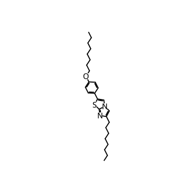 CCCCCCCCOc1ccc(-c2cn3cc(CCCCCCCC)nc3s2)cc1